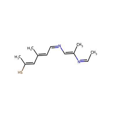 C\C=N/C(C)=C/N=C\C=C(C)\C=C(/C)S